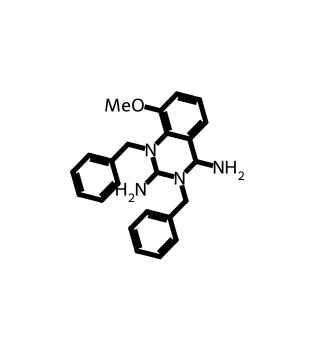 COc1cccc2c1N(Cc1ccccc1)C(N)N(Cc1ccccc1)C2N